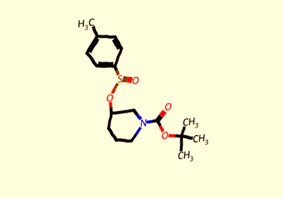 Cc1ccc(S(=O)OC2CCCN(C(=O)OC(C)(C)C)C2)cc1